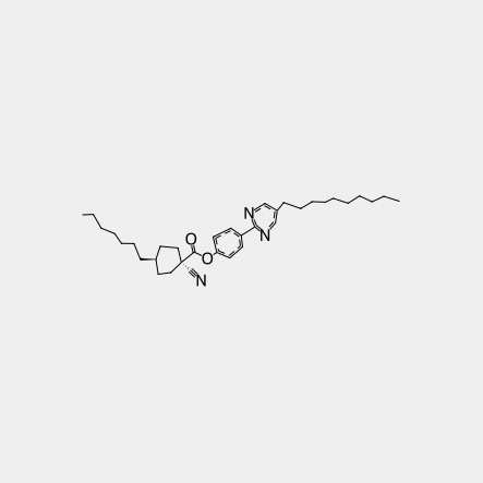 CCCCCCCCCCc1cnc(-c2ccc(OC(=O)[C@]3(C#N)CC[C@H](CCCCCCC)CC3)cc2)nc1